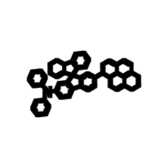 C1=CCC2C(=C1)C1(c3cc(C4=CC=C5C=CC6=C7C(=CC=C4C57)CC=C6)ccc3-c3ccc(N(c4ccccc4)c4ccccc4)cc31)c1ccccc12